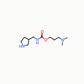 CN(C)CCCOC(=O)NCC1CCNC1